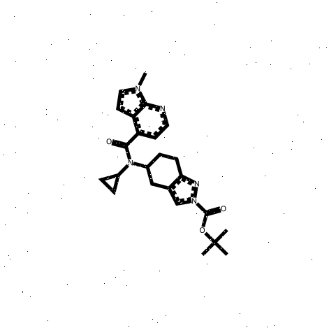 Cn1ccc2c(C(=O)N(C3CC3)C3CCc4nn(C(=O)OC(C)(C)C)cc4C3)ccnc21